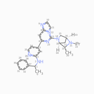 CC(Nc1cc(-c2cc3nccn3c(N3C[C@@H]4C[C@H]3[C@H](C)N4C(C)C)n2)ccn1)c1ccccc1